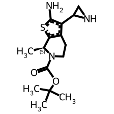 C[C@H]1c2sc(N)c(C3CN3)c2CCN1C(=O)OC(C)(C)C